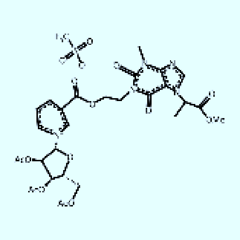 COC(=O)C(C)n1cnc2c1c(=O)n(CCOC(=O)c1ccc[n+]([C@@H]3O[C@H](COC(C)=O)[C@@H](OC(C)=O)[C@H]3OC(C)=O)c1)c(=O)n2C.O=S(=O)([O-])C(F)(F)F